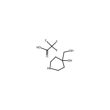 O=C(O)C(F)(F)F.OCC1(O)CCNCC1